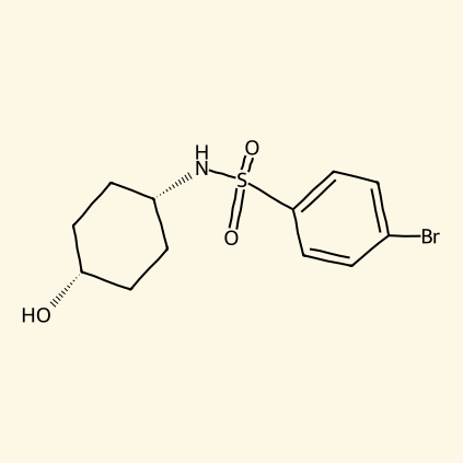 O=S(=O)(N[C@H]1CC[C@@H](O)CC1)c1ccc(Br)cc1